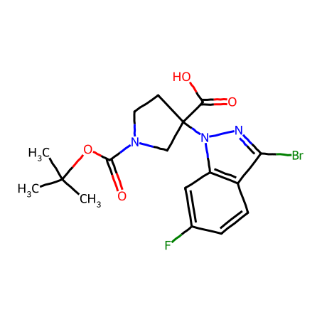 CC(C)(C)OC(=O)N1CCC(C(=O)O)(n2nc(Br)c3ccc(F)cc32)C1